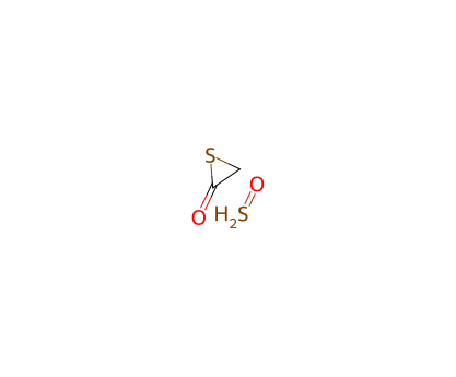 O=C1CS1.O=[SH2]